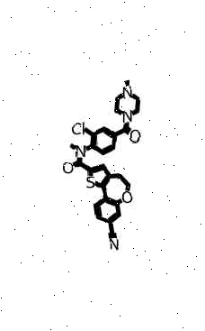 CN1CCN(C(=O)c2ccc(N(C)C(=O)c3cc4c(s3)-c3ccc(C#N)cc3OCC4)c(Cl)c2)CC1